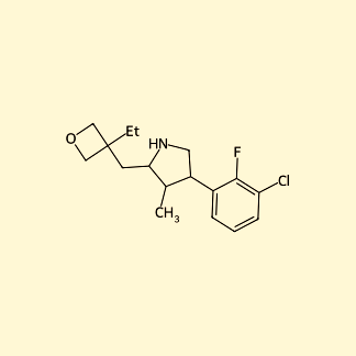 CCC1(CC2NCC(c3cccc(Cl)c3F)C2C)COC1